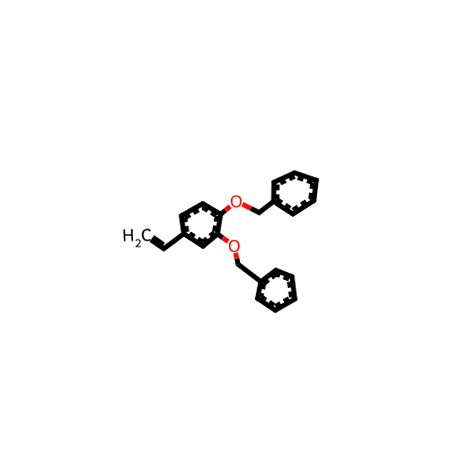 C=Cc1ccc(OCc2ccccc2)c(OCc2ccccc2)c1